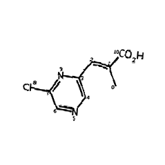 CC(=Cc1cncc(Cl)n1)C(=O)O